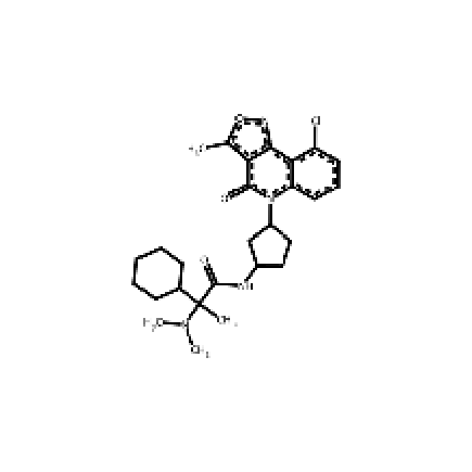 Cc1onc2c1c(=O)n(C1CCC(NC(=O)C(C)(C3CCCCC3)N(C)C)C1)c1cccc(Cl)c21